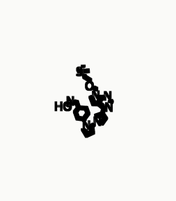 C[Si](C)(C)CCOCn1ccc2c(-c3ccn(-c4cccn4C4CCC(/C=N\O)CC4)c3)ncnc21